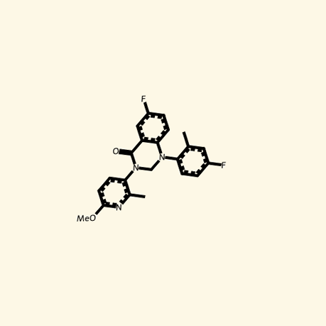 COc1ccc(N2CN(c3ccc(F)cc3C)c3ccc(F)cc3C2=O)c(C)n1